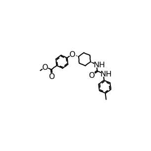 COC(=O)c1ccc(O[C@H]2CC[C@H](NC(=O)Nc3ccc(C)cc3)CC2)cc1